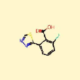 O=C(O)c1c(F)cccc1-c1nncs1